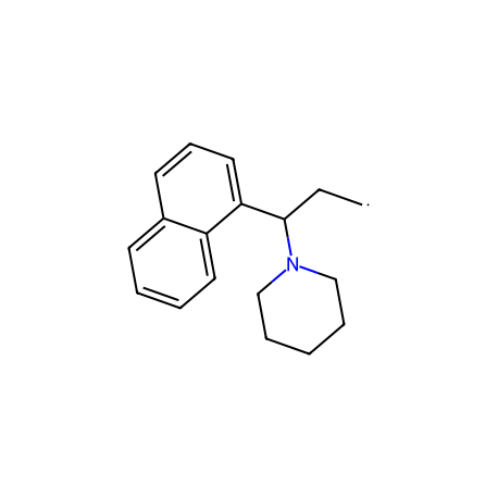 [CH2]CC(c1cccc2ccccc12)N1CCCCC1